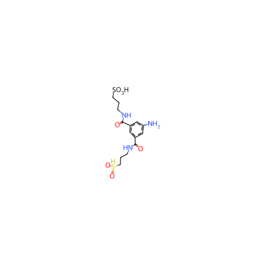 Nc1cc(C(=O)NCCC[SH](=O)=O)cc(C(=O)NCCCS(=O)(=O)O)c1